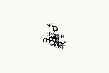 N#Cc1cccc(C(Nc2cc(Cl)c3ncc(C#N)c(Nc4cnc(F)c(F)c4)c3c2)C2=CNNN2)c1